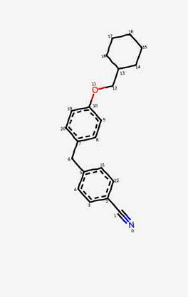 N#Cc1ccc(Cc2ccc(OCC3CCCCC3)cc2)cc1